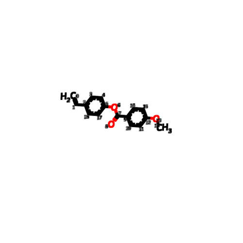 C=Cc1ccc(OC(=O)c2ccc(OC)cc2)cc1